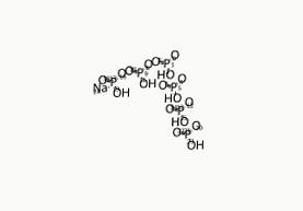 O=P(=O)O.O=P(=O)O.O=P(=O)O.O=P(=O)O.O=P(=O)O.O=P(=O)O.[Na]